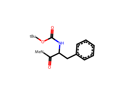 CNC(=O)C(Cc1ccccc1)NC(=O)OC(C)(C)C